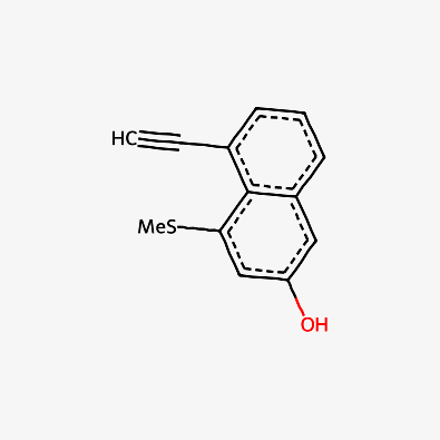 C#Cc1cccc2cc(O)cc(SC)c12